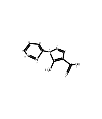 Nc1c(C(=O)O)cnn1-c1cccnn1